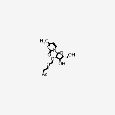 CC(=O)CCOCO[C@H]1C(O)[C@@H](CO)O[C@H]1n1ccc(C)nc1=O